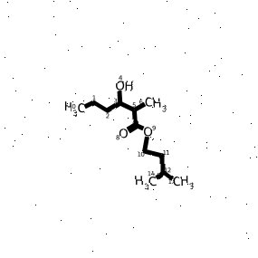 CCCC(O)C(C)C(=O)OCCC(C)C